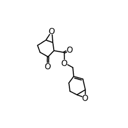 O=C1CCC2OC2C1C(=O)OCC1=CC2OC2CC1